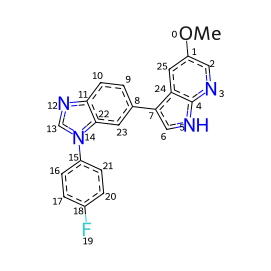 COc1cnc2[nH]cc(-c3ccc4ncn(-c5ccc(F)cc5)c4c3)c2c1